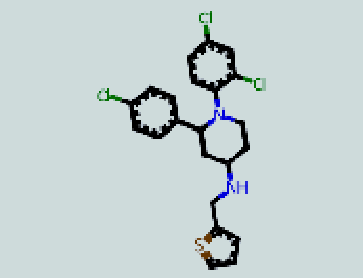 Clc1ccc(C2CC(NCc3cccs3)CCN2c2ccc(Cl)cc2Cl)cc1